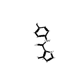 Cc1ccc(NC(=O)c2occc2C)cc1